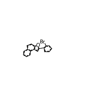 Brc1ccccc1-c1cc2c(ccc3ccccc32)o1